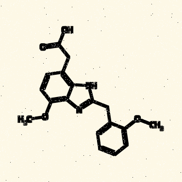 COc1ccccc1Cc1nc2c(OC)ccc(CC(=O)O)c2[nH]1